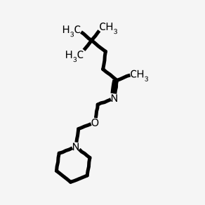 C/C(CCC(C)(C)C)=N/COCN1CCCCC1